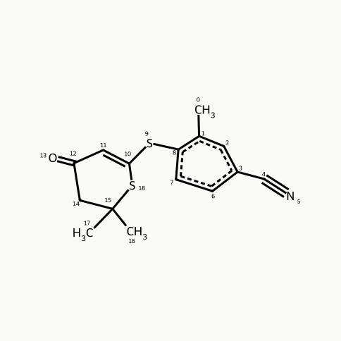 Cc1cc(C#N)ccc1SC1=CC(=O)CC(C)(C)S1